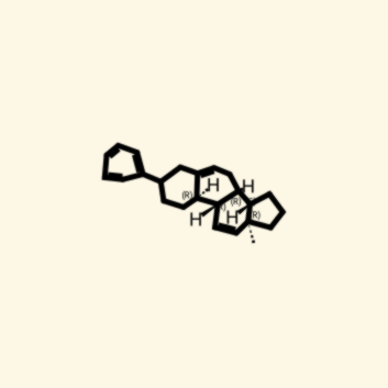 C[C@]12C=C[C@H]3[C@@H](CC=C4CC(c5ccccc5)CC[C@@H]43)[C@@H]1CCC2